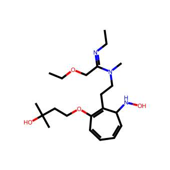 CC/N=C(/COCC)N(C)CCC1=C(OCCC(C)(C)O)C=CC=CC1NO